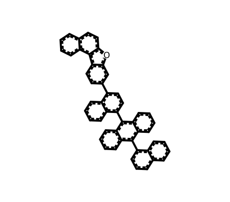 c1ccc2c(-c3c4ccccc4c(-c4ccc(-c5ccc6c(c5)oc5ccc7ccccc7c56)c5ccccc45)c4ccccc34)cccc2c1